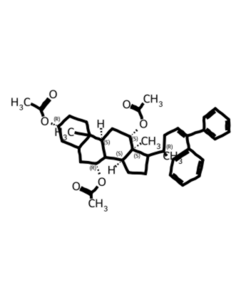 CC(=O)O[C@@H]1CCC2(C)C(C1)C[C@@H](OC(C)=O)C1[C@@H]2C[C@H](OC(C)=O)[C@@]2(C)C([C@H](C)CC=C(c3ccccc3)c3ccccc3)CC[C@@H]12